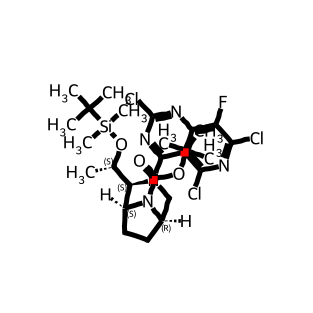 C[C@H](O[Si](C)(C)C(C)(C)C)[C@@H]1[C@@H]2CC[C@H](CN1c1nc(Cl)nc3c(F)c(Cl)nc(Cl)c13)N2C(=O)OC(C)(C)C